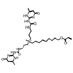 C=CC(=O)OCCCCCCCCC[N+](C)(CCCNC(=O)Nc1nc(=O)cc(C)[nH]1)CCCNC(=O)Nc1nc(=O)cc(C)[nH]1